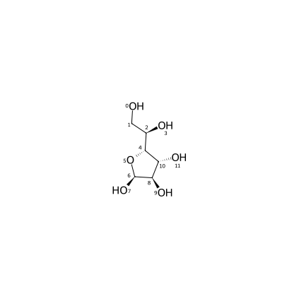 OC[C@@H](O)[C@H]1O[C@H](O)[C@H](O)[C@H]1O